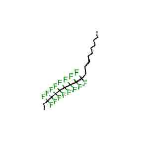 CCCCCCCCCCC(F)(F)C(F)(F)C(F)(F)C(F)(F)C(F)(F)C(F)(F)C(F)(F)C(F)(F)CC